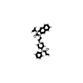 C=C(C)n1c(=O)n(CCN2CCC(N(C(=O)CC)c3ccccc3)CC2)c2cc3ccccc3cc21